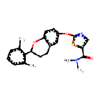 Cc1cccc(C)c1C1CCc2cc(Oc3ncc(C(=O)N(C)C)s3)ccc2O1